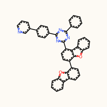 c1ccc(-c2nc(-c3ccc(-c4cccnc4)cc3)nc(-c3ccc(-c4cccc5c4oc4ccccc45)c4oc5ccccc5c34)n2)cc1